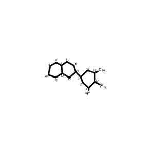 FC1CC(C2CCC3CCCCC3C2)CC(F)C1F